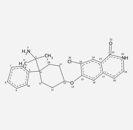 CC(C)(N)C1(c2ccccc2)CCC(Oc2cc3cc[nH]c(=O)c3cc2Cl)CC1